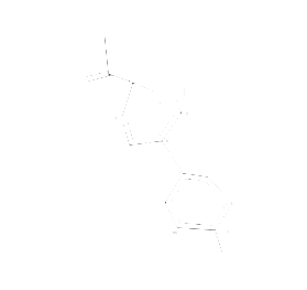 C=C(C)[C@@](C)(Cl)/C=C\C(=C/C)c1ccc(C)cc1